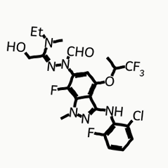 CCN(C)/C(CO)=N\N(C=O)c1cc(OC(C)C(F)(F)F)c2c(Nc3c(F)cccc3Cl)nn(C)c2c1F